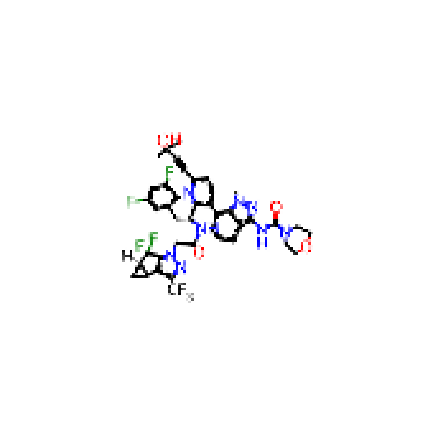 Cn1nc(NC(=O)N2CCOCC2)c2cccc(-c3ccc(C#CC(C)(C)O)nc3[C@H](Cc3cc(F)cc(F)c3)NC(=O)Cn3nc(C(F)(F)F)c4c3C(F)(F)[C@@H]3CC43)c21